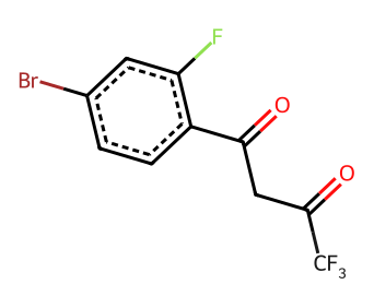 O=C(CC(=O)C(F)(F)F)c1ccc(Br)cc1F